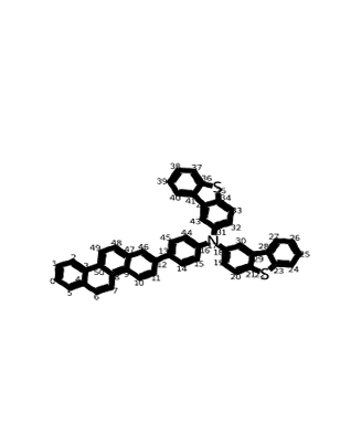 c1ccc2c(c1)ccc1c3ccc(-c4ccc(N(c5ccc6sc7ccccc7c6c5)c5ccc6sc7ccccc7c6c5)cc4)cc3ccc21